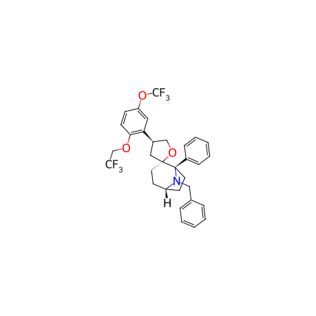 FC(F)(F)COc1ccc(OC(F)(F)F)cc1[C@H]1CO[C@]2(CC[C@H]3CC[C@]2(c2ccccc2)N3Cc2ccccc2)C1